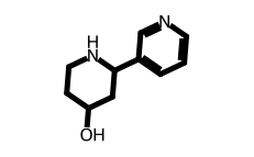 OC1CCNC(c2cccnc2)C1